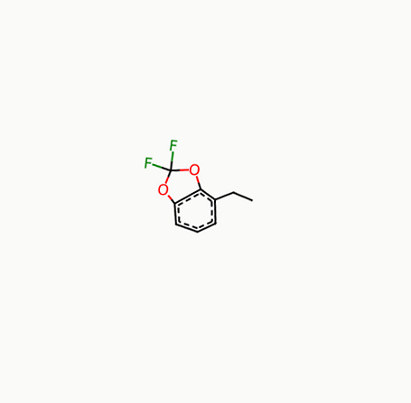 CCc1cccc2c1OC(F)(F)O2